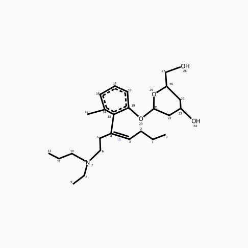 CCC/C=C(/CCN(CC)CCC)c1c(C)cccc1OC1CC(O)CC(CO)O1